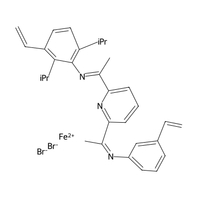 C=Cc1cccc(N=C(C)c2cccc(C(C)=Nc3c(C(C)C)ccc(C=C)c3C(C)C)n2)c1.[Br-].[Br-].[Fe+2]